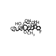 Cc1c(C=C2C(=O)Nc3ccc(F)cc32)[nH]c2c1C(=O)N(C[C@H](O)CN1CCOCC1)CCC2.O=C(O)CC(O)C(=O)O